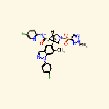 Cc1cc2c(cnn2-c2ccc(F)cc2)cc1[C@]12CN(S(=O)(=O)c3cnn(C)n3)C[C@H]1[C@@H]2C(=O)Nc1ccc(F)cn1